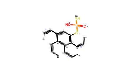 C/C=C\c1cc(SP(=O)(O)S)c(/C=C\C)c(/C=C\C)c1/C=C\C